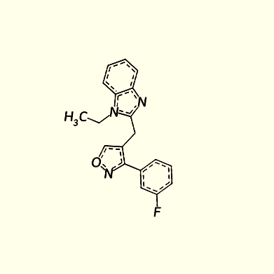 CCn1c(Cc2conc2-c2cccc(F)c2)nc2ccccc21